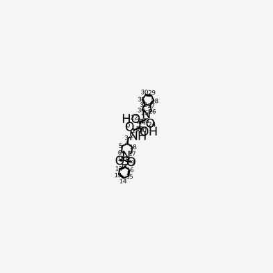 O=C(NCC1CCN(S(=O)(=O)c2ccccc2)CC1)[C@H](O)[C@@H](O)C(=O)N1Cc2ccccc2C1